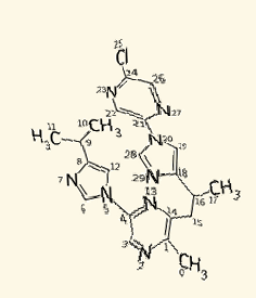 Cc1ncc(-n2cnc(C(C)C)c2)nc1CC(C)c1cn(-c2cnc(Cl)cn2)cn1